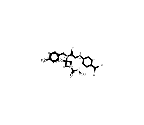 CC(C)(C)OC(=O)N1CC(C#N)(N(Cc2ccc(C(F)(F)F)cc2)C(=O)CNC2CCC(C(F)F)CC2)C1